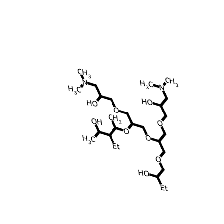 CCC(O)COCC(COCC(O)CN(C)C)OCC(COCC(O)CN(C)C)OC(C)C(CC)C(C)O